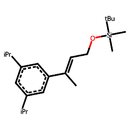 CC(=CCO[Si](C)(C)C(C)(C)C)c1cc(C(C)C)cc(C(C)C)c1